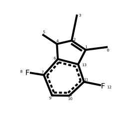 CC1=C(C)C(C)c2c(F)c[c]c(F)c21